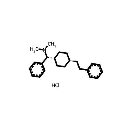 CN(C)C(c1ccccc1)[C@H]1CC[C@H](CCc2ccccc2)CC1.Cl